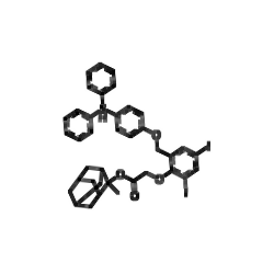 CC1(OC(=O)COc2c(I)cc(I)cc2COc2ccc([SH](c3ccccc3)c3ccccc3)cc2)C2CC3CC(C2)CC1C3